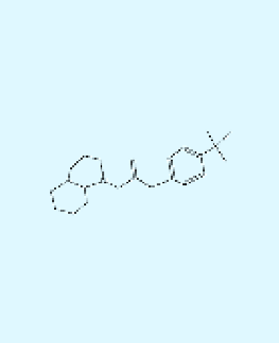 C=C(Cc1ccc(C(C)(C)C)cc1)CN1CCCC2CCCCC21